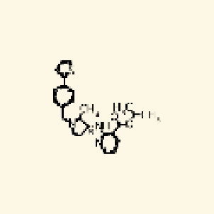 CC(C)OC(=O)c1cccnc1N[C@@H]1CCN(Cc2ccc(-c3cccs3)cc2)C1C